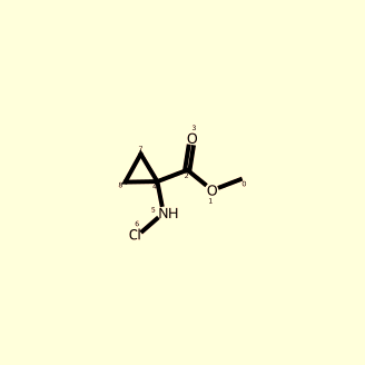 COC(=O)C1(NCl)CC1